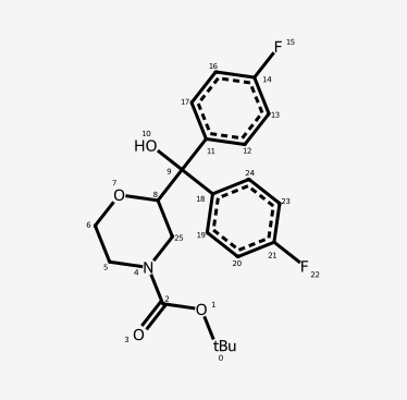 CC(C)(C)OC(=O)N1CCOC(C(O)(c2ccc(F)cc2)c2ccc(F)cc2)C1